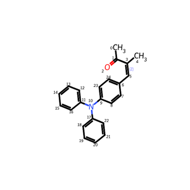 CC(=O)/C(C)=C\c1ccc(N(c2ccccc2)c2ccccc2)cc1